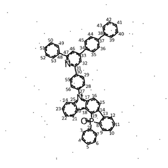 O=P1(c2ccccc2)c2ccccc2-c2ccc3c(c21)c1ccccc1n3-c1ccc(-c2cc(-c3ccc(-c4ccccc4)cc3)cc(-c3ccccc3)n2)cc1